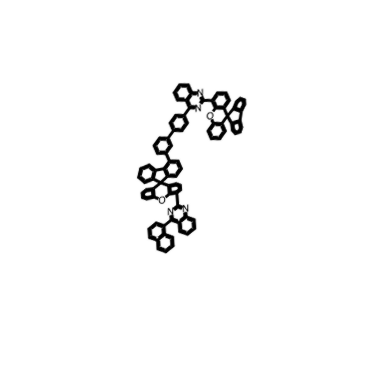 c1cc(-c2ccc(-c3nc(-c4cccc5c4Oc4ccccc4C54c5ccccc5-c5ccccc54)nc4ccccc34)cc2)cc(-c2cccc3c2-c2ccccc2C32c3ccccc3Oc3c(-c4nc(-c5cccc6ccccc56)c5ccccc5n4)cccc32)c1